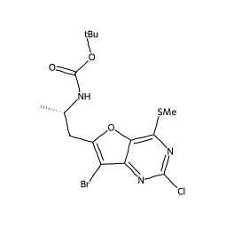 CSc1nc(Cl)nc2c(Br)c(C[C@H](C)NC(=O)OC(C)(C)C)oc12